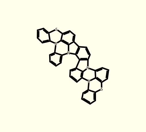 c1ccc2c(c1)Sc1cccc3c1B2c1cccc2c4c(ccc5c6ccc7c8c6n(c54)-c4ccccc4B8c4ccccc4S7)n-3c12